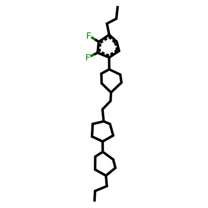 CCCc1ccc(C2CCC(CCC3CCC(C4CCC(CCC)CC4)CC3)CC2)c(F)c1F